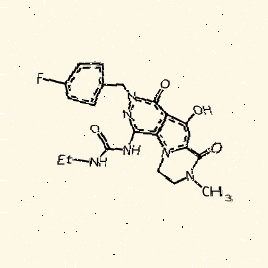 CCNC(=O)Nc1nn(Cc2ccc(F)cc2)c(=O)c2c(O)c3n(c12)CCN(C)C3=O